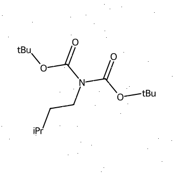 CC(C)CCN(C(=O)OC(C)(C)C)C(=O)OC(C)(C)C